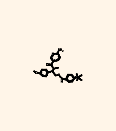 COc1ccc(C(CONc2ccc([SH](C)(C)(C)C)cc2)N(C)C(=O)c2ccc(N)nc2)cc1